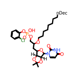 CCCCCCCCCCCCCCCCCCOC(COP(=O)(O)Oc1ccccc1Cl)CC1OC(n2ccc(=O)[nH]c2=O)[C@@H]2OC(C)(C)O[C@H]12